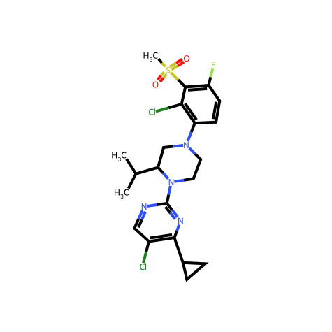 CC(C)C1CN(c2ccc(F)c(S(C)(=O)=O)c2Cl)CCN1c1ncc(Cl)c(C2CC2)n1